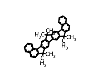 CC1(C)c2cc3c(cc2-c2cc4c(cc21)-c1c(ccc2ccccc12)C4(C)C)C(C)(C)c1ccc2ccccc2c1-3